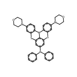 c1ccc(N(c2ccccc2)c2cc3c4c(c2)Sc2cc(N5CCOCC5)ccc2B4c2ccc(N4CCOCC4)cc2S3)cc1